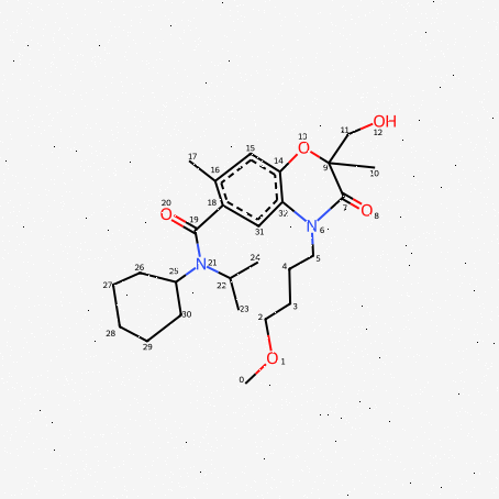 COCCCCN1C(=O)C(C)(CO)Oc2cc(C)c(C(=O)N(C(C)C)C3CCCCC3)cc21